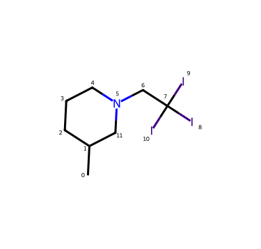 CC1CCCN(CC(I)(I)I)C1